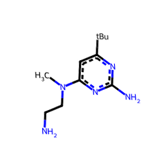 CN(CCN)c1cc(C(C)(C)C)nc(N)n1